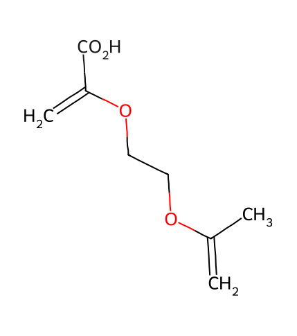 C=C(C)OCCOC(=C)C(=O)O